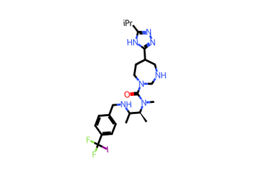 CC(C)c1nnc(C2CCN(C(=O)N(C)[C@@H](C)C(C)NCc3ccc(C(F)(F)I)cc3)CNC2)[nH]1